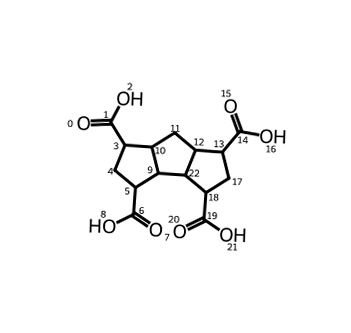 O=C(O)C1CC(C(=O)O)C2C1CC1C(C(=O)O)CC(C(=O)O)C12